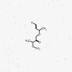 CON(C)C(=O)COC(C)C=CF